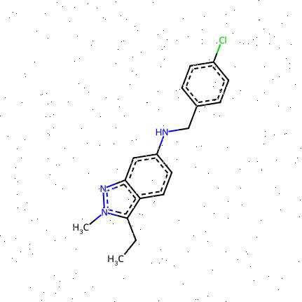 CCc1c2ccc(NCc3ccc(Cl)cc3)cc2nn1C